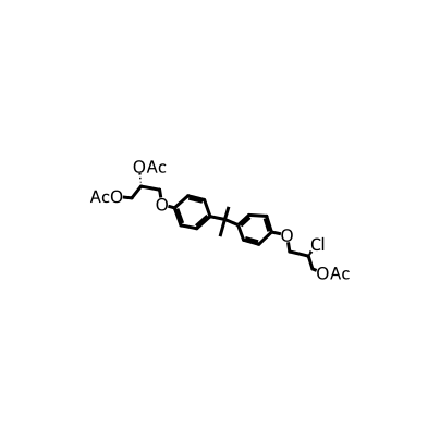 CC(=O)OC[C@H](Cl)COc1ccc(C(C)(C)c2ccc(OC[C@H](COC(C)=O)OC(C)=O)cc2)cc1